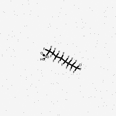 O=S(=O)(O)C(F)(F)C(F)(F)C(F)(F)C(F)(F)C(F)(F)C(F)(F)C(F)(F)C(F)(F)Cl